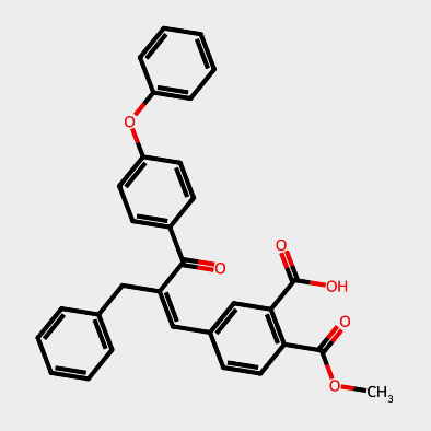 COC(=O)c1ccc(C=C(Cc2ccccc2)C(=O)c2ccc(Oc3ccccc3)cc2)cc1C(=O)O